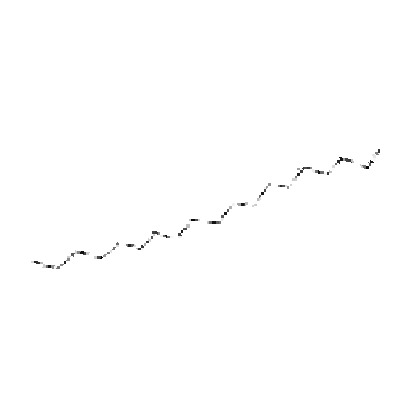 CCCC[CH]CCCCCCCCCCCCCC